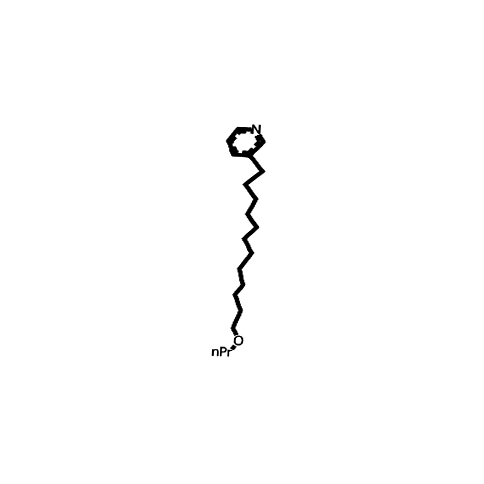 CCCOCCCCCCCCCCCCc1cccnc1